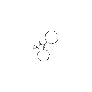 B(BC1(C2CCCCCCCC2)CC1)C1CCCCCCCCC1